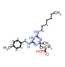 CC(=O)O.CCCCCCCNC1=NC(C)(C)N=C(NCc2ccc(C)cc2)N1